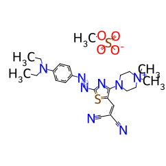 CCN(CC)c1ccc(/N=N/c2nc(N3CC[N+](C)(C)CC3)c(C=C(C#N)C#N)s2)cc1.COS(=O)(=O)[O-]